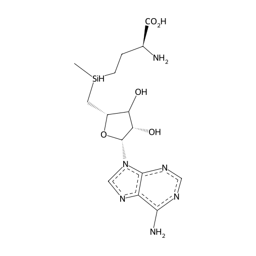 C[SiH](CC[C@H](N)C(=O)O)C[C@H]1O[C@@H](n2cnc3c(N)ncnc32)[C@@H](O)C1O